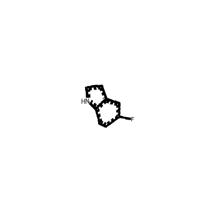 Fc1ccc2[nH]c[c]c2c1